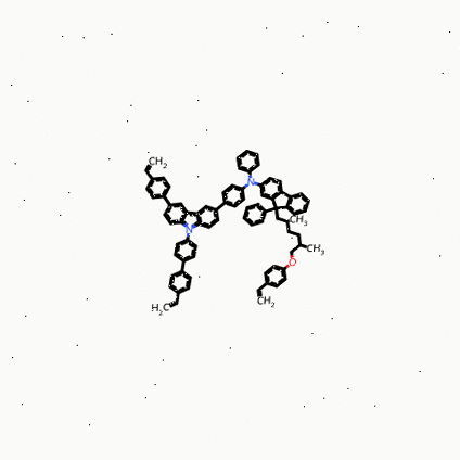 C=Cc1ccc(OCC(C)CCC(C)CC2(c3ccccc3)c3ccccc3-c3ccc(N(c4ccccc4)c4ccc(-c5ccc6c(c5)c5cc(-c7ccc(C=C)cc7)ccc5n6-c5ccc(-c6ccc(C=C)cc6)cc5)cc4)cc32)cc1